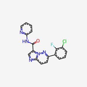 O=C(Nc1ccccn1)c1cnc2ccc(-c3cccc(Cl)c3F)nn12